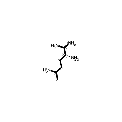 CC(N)CC[C@@H](N)C(N)N